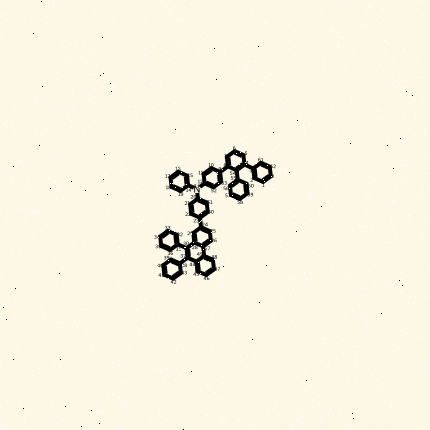 c1ccc(-c2cccc(-c3ccc(N(c4ccccc4)c4ccc(-c5ccc6c(c5)c(-c5ccccc5)c(-c5ccccc5)c5ccccc56)cc4)cc3)c2-c2ccccc2)cc1